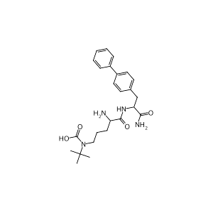 CC(C)(C)N(CCCC(N)C(=O)NC(Cc1ccc(-c2ccccc2)cc1)C(N)=O)C(=O)O